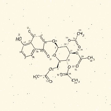 CC(=O)OC[C@H]1O[C@@H](OC2=CC(=O)c3c(O)cccc3C2=O)[C@H](OC(C)=O)[C@@H](OC(C)=O)[C@@H]1OC(C)=O